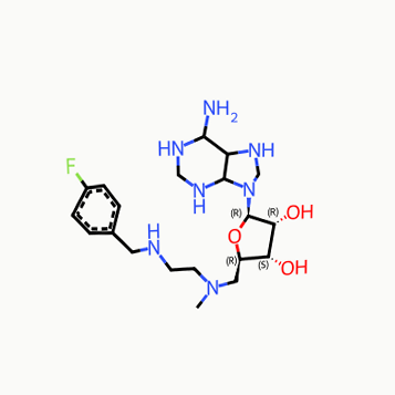 CN(CCNCc1ccc(F)cc1)C[C@H]1O[C@@H](N2CNC3C(N)NCNC32)[C@H](O)[C@@H]1O